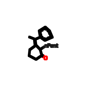 CCCCCC1C(=O)CCCC1=C(C)c1ccccc1